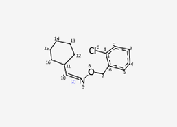 Clc1ccccc1CO/N=[C]\C1CCCCC1